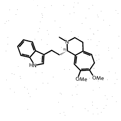 COC1=C(OC)CC=C2CCN(C)[C@@H](CCc3c[nH]c4ccccc34)C2=C1